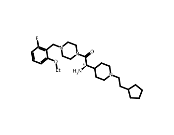 CCOc1cccc(F)c1CN1CCN(C(=O)[C@H](N)C2CCN(CCC3CCCC3)CC2)CC1